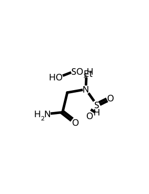 CCN(CC(N)=O)[SH](=O)=O.O=S(=O)(O)O